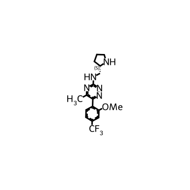 COc1cc(C(F)(F)F)ccc1-c1nnc(NC[C@@H]2CCCN2)nc1C